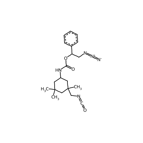 CC1(C)CC(NC(=O)OC(CN=[N+]=[N-])c2ccccc2)CC(C)(CN=C=O)C1